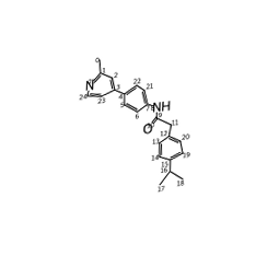 Cc1cc(-c2ccc(NC(=O)Cc3ccc(C(C)C)cc3)cc2)ccn1